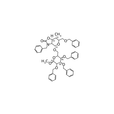 CO[C@H]1OC(CO[C@H]2OC(COCc3ccccc3)[C@@H](C)[C@@H]3OC(=O)N(Cc4ccccc4)C23)[C@@H](OCc2ccccc2)[C@@H](OCc2ccccc2)C1OCc1ccccc1